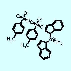 Cc1ccc(S(=O)(=O)[O-])cc1.Cc1ccc(S(=O)(=O)[O-])cc1.[CH2]=[Zr+2]([CH]1C=Cc2ccccc21)[CH]1C=Cc2ccccc21